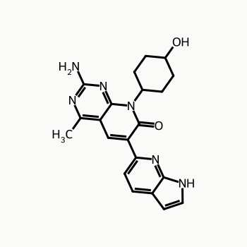 Cc1nc(N)nc2c1cc(-c1ccc3cc[nH]c3n1)c(=O)n2C1CCC(O)CC1